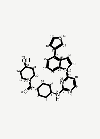 O=C([C@H]1CC[C@H](Nc2nccc(-n3ccc4c(-c5ccsc5)cccc43)n2)CC1)N1CCC(O)CC1